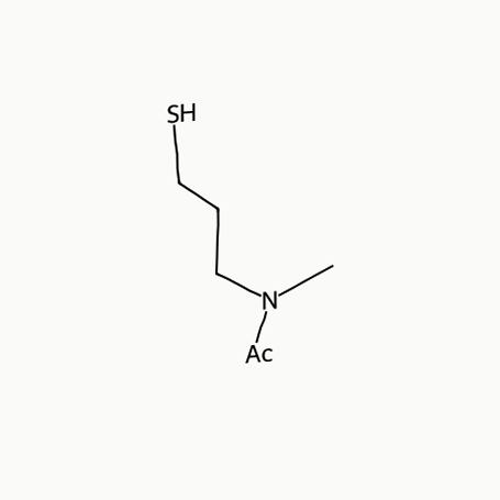 CC(=O)N(C)CCCS